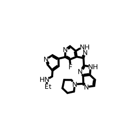 CCNCc1cncc(-c2ncc3[nH]nc(-c4nc5c(N6CCCCC6)nccc5[nH]4)c3c2F)c1